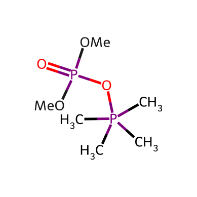 COP(=O)(OC)OP(C)(C)(C)C